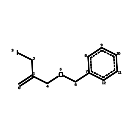 C=C(CI)COCc1ccccc1